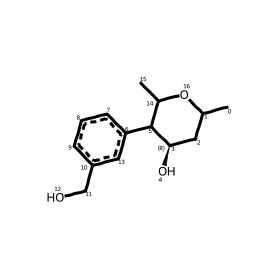 CC1C[C@@H](O)C(c2cccc(CO)c2)C(C)O1